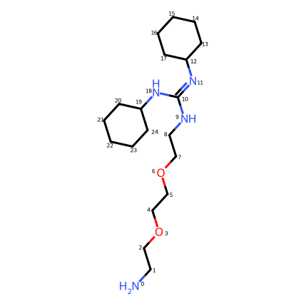 NCCOCCOCCNC(=NC1CCCCC1)NC1CCCCC1